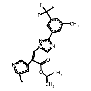 Cc1cc(-c2ncn(/C=C(\C(=O)OC(C)C)c3cncc(F)c3)n2)cc(C(F)(F)F)c1